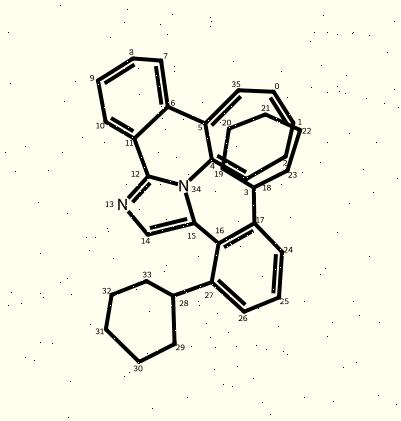 C1=CCC=c2c(c3ccccc3c3ncc(-c4c(C5CCCCC5)cccc4C4CCCCC4)n23)=C1